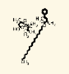 C=C(C)C(=O)OC.C=C(C=C(C)c1ccccc1)C(=O)OCCCCCCCCCCCCCCCCCC.C=C(CC(=O)O)C(=O)O